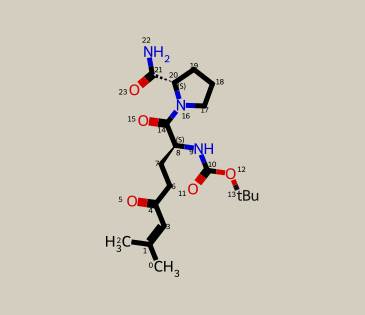 CC(C)=CC(=O)CC[C@H](NC(=O)OC(C)(C)C)C(=O)N1CCC[C@H]1C(N)=O